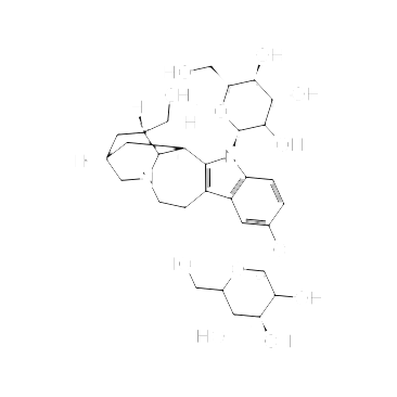 CC[C@H]1C[C@H]2C[C@H]3c4c(c5cc(O[C@H]6OC(CO)[C@@H](O)[C@H](O)C6O)ccc5n4[C@H]4O[C@@H](CO)[C@@H](O)[C@H](O)C4O)CCN(C2)C13